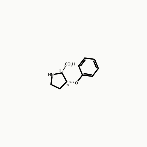 O=C(O)[C@H]1NCC[C@H]1Oc1ccccc1